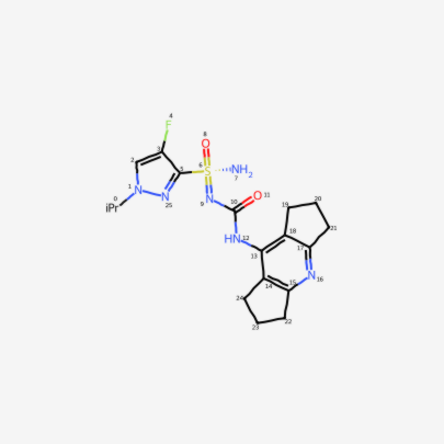 CC(C)n1cc(F)c([S@@](N)(=O)=NC(=O)Nc2c3c(nc4c2CCC4)CCC3)n1